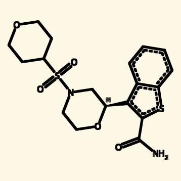 NC(=O)c1sc2ccccc2c1[C@@H]1CN(S(=O)(=O)C2CCOCC2)CCO1